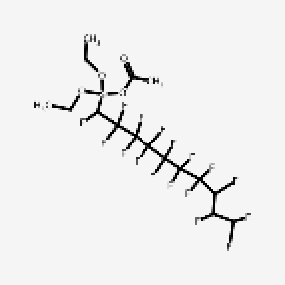 CCO[Si](OCC)(OC(C)=O)C(F)C(F)(F)C(F)(F)C(F)(F)C(F)(F)C(F)(F)C(F)(F)C(F)C(F)C(F)F